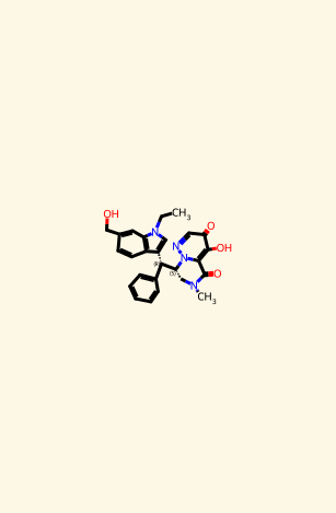 CCn1cc([C@@H](c2ccccc2)[C@H]2CN(C)C(=O)c3c(O)c(=O)cnn32)c2ccc(CO)cc21